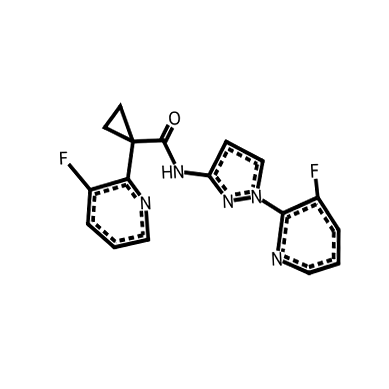 O=C(Nc1ccn(-c2ncccc2F)n1)C1(c2ncccc2F)CC1